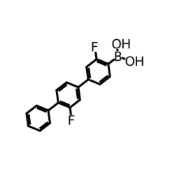 OB(O)c1ccc(-c2ccc(-c3ccccc3)c(F)c2)cc1F